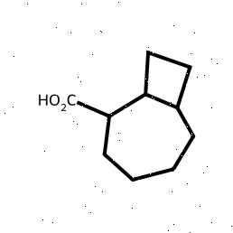 O=C(O)C1CCCCC2CCC21